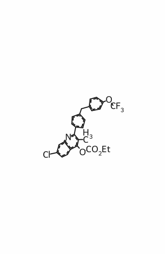 CCOC(=O)Oc1c(C)c(-c2ccc(Cc3ccc(OC(F)(F)F)cc3)cc2)nc2cc(Cl)ccc12